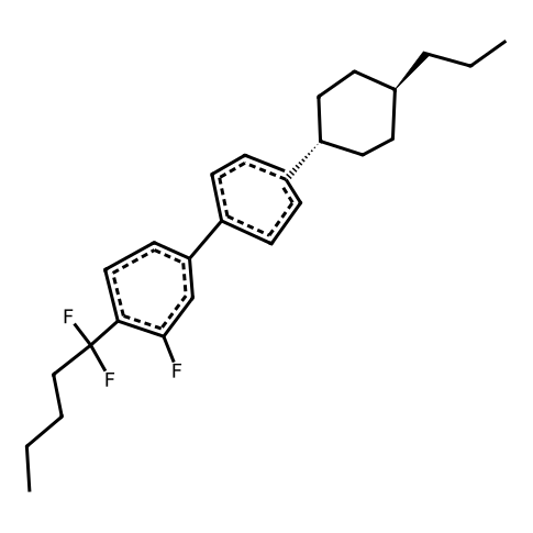 CCCCC(F)(F)c1ccc(-c2ccc([C@H]3CC[C@H](CCC)CC3)cc2)cc1F